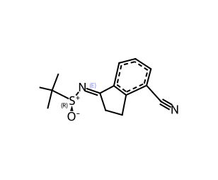 CC(C)(C)[S@+]([O-])/N=C1\CCc2c(C#N)cccc21